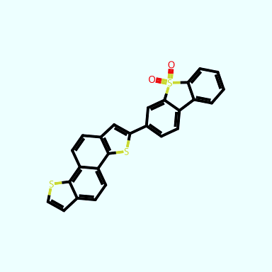 O=S1(=O)c2ccccc2-c2ccc(-c3cc4ccc5c(ccc6ccsc65)c4s3)cc21